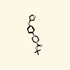 CC(C)(C)OC(=O)N1CCN(c2ccc(OC3CCOC3)cc2)CC1